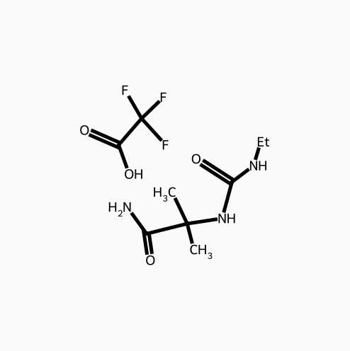 CCNC(=O)NC(C)(C)C(N)=O.O=C(O)C(F)(F)F